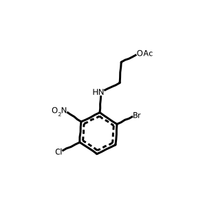 CC(=O)OCCNc1c(Br)ccc(Cl)c1[N+](=O)[O-]